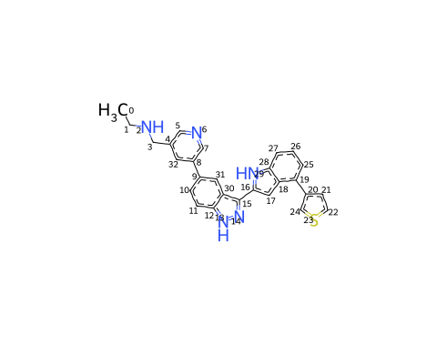 CCNCc1cncc(-c2ccc3[nH]nc(-c4cc5c(-c6ccsc6)cccc5[nH]4)c3c2)c1